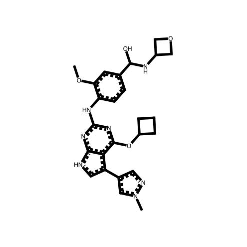 COc1cc(C(O)NC2COC2)ccc1Nc1nc(OC2CCC2)c2c(-c3cnn(C)c3)c[nH]c2n1